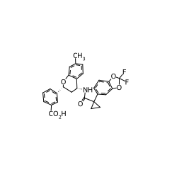 Cc1ccc2c(c1)O[C@@H](c1cccc(C(=O)O)c1)C[C@H]2NC(=O)C1(c2ccc3c(c2)OC(F)(F)O3)CC1